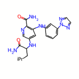 CC(C)CC(Nc1cnc(C(N)=O)c(Nc2cccc(-n3nccn3)c2)c1)C(N)=O